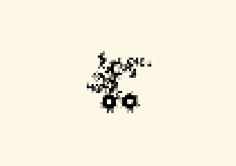 C=CCN(C(=O)N1N=NN(c2ccccc2Oc2ccccc2)C1O)C1CCN(C(=O)OC(C)(C)C)CC1